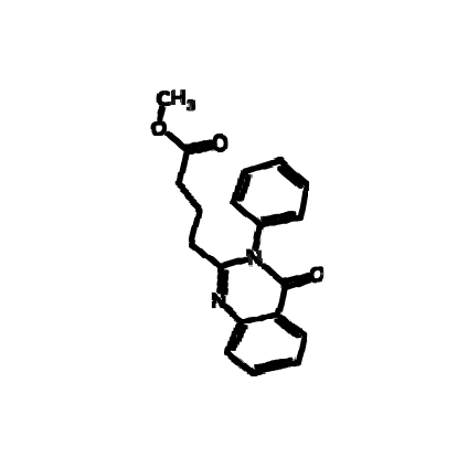 COC(=O)CCCc1nc2ccccc2c(=O)n1-c1ccccc1